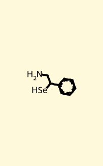 NCC([SeH])c1ccccc1